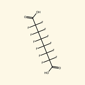 O=C(O)C(F)(F)C(F)(F)C(F)(F)C(F)(F)C(F)(F)C(F)(F)C(=O)O